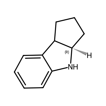 c1ccc2c(c1)N[C@@H]1CCCC21